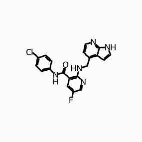 O=C(Nc1ccc(Cl)cc1)c1cc(F)cnc1NCc1ccnc2[nH]ccc12